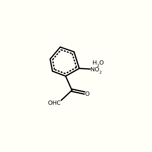 O.O=CC(=O)c1ccccc1[N+](=O)[O-]